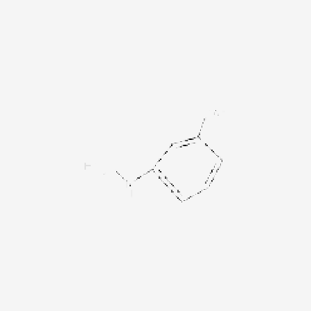 CC(=O)Oc1cccc(NC(=O)O)c1